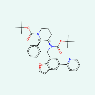 CC(C)(C)OC(=O)N(Cc1cc(-c2ccccn2)cc2ccoc12)[C@@H]1CCCN(C(=O)OC(C)(C)C)[C@@H]1c1ccccc1